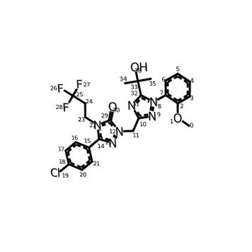 COc1ccccc1-n1nc(Cn2nc(-c3ccc(Cl)cc3)n(CCC(F)(F)F)c2=O)nc1C(C)(C)O